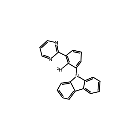 [2H]c1c(-c2ncccn2)cccc1-n1c2ccccc2c2ccccc21